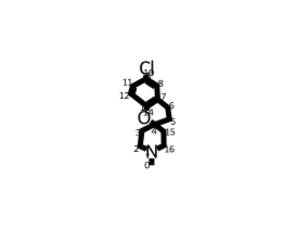 CN1CCC2(CCc3cc(Cl)ccc3O2)CC1